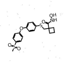 CS(=O)(=O)c1ccc(Oc2ccc(SCC3(C(=O)NO)CCC3)cc2)cc1